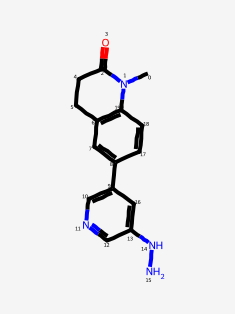 CN1C(=O)CCc2cc(-c3cncc(NN)c3)ccc21